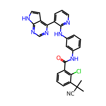 CC(C)(C#N)c1cccc(C(=O)Nc2cccc(Nc3ncccc3-c3ncnc4[nH]ccc34)c2)c1Cl